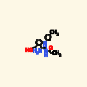 C=CC(=O)NCC(N)c1c(CCO)cccc1Nc1ccc(C)cc1